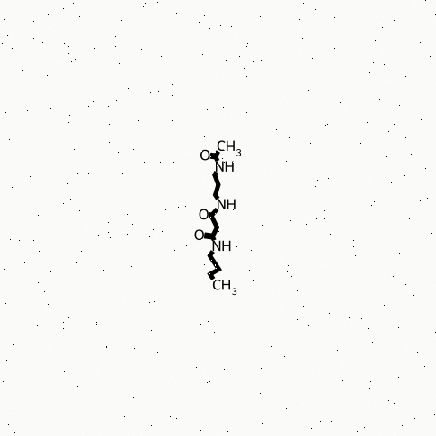 CCCCNC(=O)CC(=O)NCCCNC(C)=O